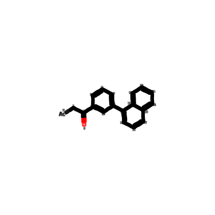 CC(=O)CC(=O)c1cccc(-c2cccc3ccccc23)c1